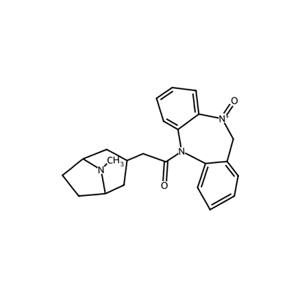 CN1C2CCC1CC(CC(=O)N1c3ccccc3C[N+](=O)c3ccccc31)C2